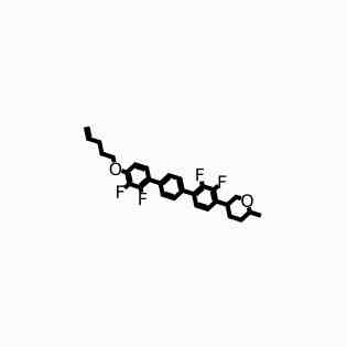 C=CCCCOc1ccc(-c2ccc(-c3ccc(C4CCC(C)OC4)c(F)c3F)cc2)c(F)c1F